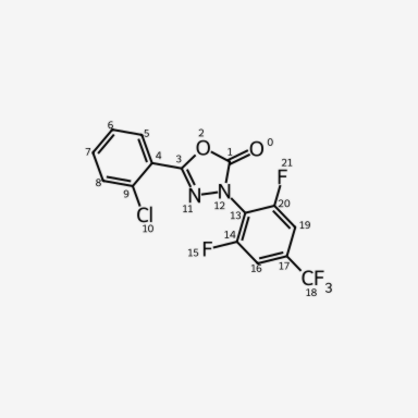 O=c1oc(-c2ccccc2Cl)nn1-c1c(F)cc(C(F)(F)F)cc1F